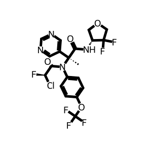 C[C@@](C(=O)N[C@@H]1COCC1(F)F)(c1cncnc1)N(C(=O)[C@H](F)Cl)c1ccc(OC(F)(F)F)cc1